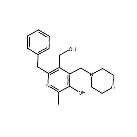 Cc1nc(Cc2ccccc2)c(CO)c(CN2CCOCC2)c1O